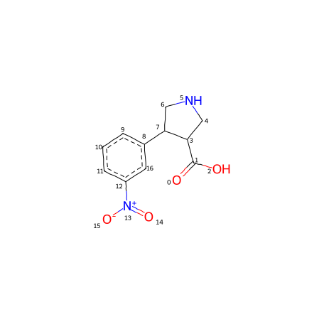 O=C(O)C1CNCC1c1cccc([N+](=O)[O-])c1